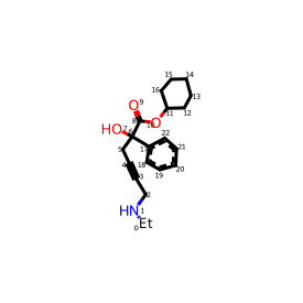 CCNCC#CCC(O)(C(=O)OC1CCCCC1)c1ccccc1